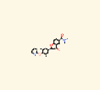 Cc1cc(-c2cc(=O)c3cc(C(=O)N(C)C)ccc3o2)cc(C)c1Oc1ccccn1